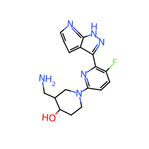 NCC1CN(c2ccc(F)c(-c3n[nH]c4ncccc34)n2)CCC1O